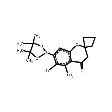 CCc1c(B2OC(C)(C)C(C)(C)O2)cc2c(c1C)C(=O)CC1(CCC1)O2